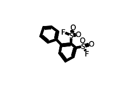 O=S(=O)(F)c1cccc(-c2ccccc2)c1S(=O)(=O)F